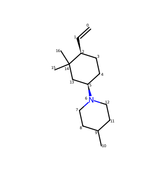 C=C[C@H]1CC[C@@H](N2CCC(C)CC2)CC1(C)C